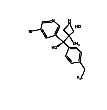 CC1([C@](O)(c2ccc(CC(F)(F)F)cc2)c2cncc(Br)c2)CNC1.Cl